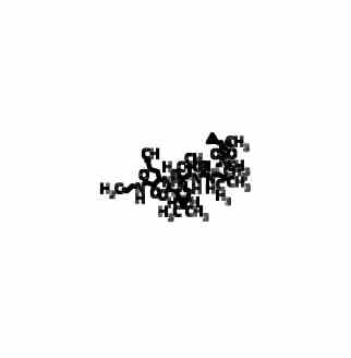 C#CCCC(NC(=O)[C@@H]1[C@@H]2[C@H](CN1C(=O)[C@@H](NC(=O)N[C@H](CN(C)S(=O)(=O)N(C)C1CC1)C(C)(C)C)C(C)(C)C)C2(C)C)C(=O)C(=O)NCC=C